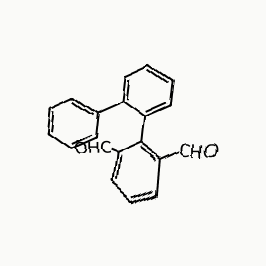 O=Cc1cccc(C=O)c1-c1ccccc1-c1ccccc1